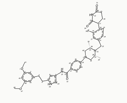 COc1cc(CCc2cc(NC(=O)c3ccc(N4C[C@@H](C)N(Cc5ccc(C6CCC(=O)NC6=O)c(F)c5)[C@@H](C)C4)cc3)n[nH]2)cc(OC)c1